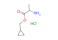 CC(N)C(=O)OCC1CC1.Cl